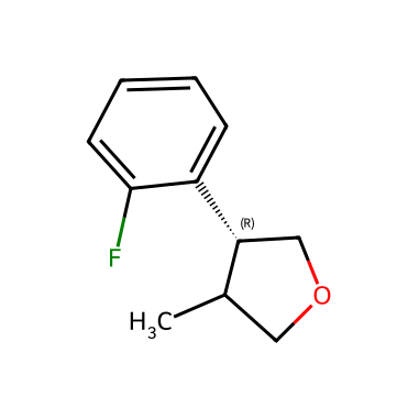 CC1COC[C@H]1c1ccccc1F